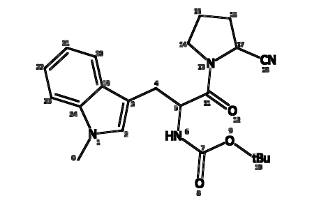 Cn1cc(CC(NC(=O)OC(C)(C)C)C(=O)N2CCCC2C#N)c2ccccc21